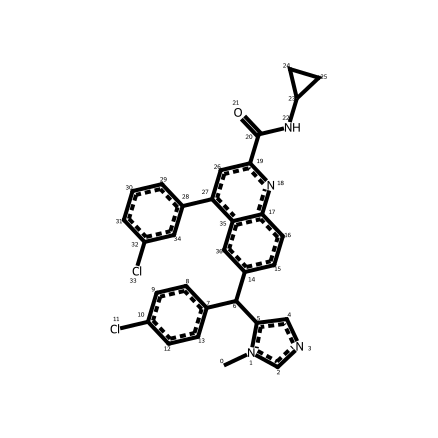 Cn1cncc1C(c1ccc(Cl)cc1)c1ccc2nc(C(=O)NC3CC3)cc(-c3cccc(Cl)c3)c2c1